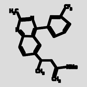 C=C(CC(C)c1ccc2nc(C)nc(-c3cccc(C(F)(F)F)c3)c2c1)NC